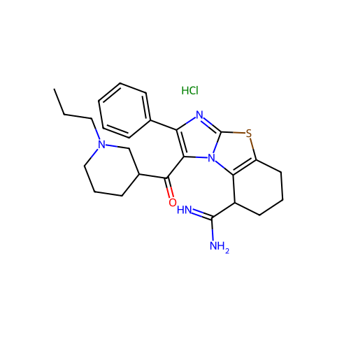 CCCN1CCCC(C(=O)c2c(-c3ccccc3)nc3sc4c(n23)C(C(=N)N)CCC4)C1.Cl